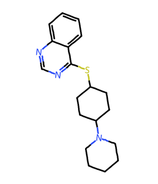 c1ccc2c(SC3CCC(N4CCCCC4)CC3)ncnc2c1